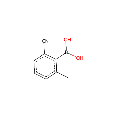 Cc1cccc(C#N)c1B(O)O